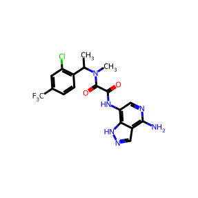 CC(c1ccc(C(F)(F)F)cc1Cl)N(C)C(=O)C(=O)Nc1cnc(N)c2cn[nH]c12